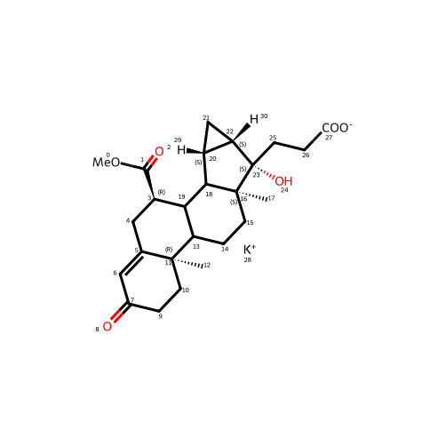 COC(=O)[C@@H]1CC2=CC(=O)CC[C@]2(C)C2CC[C@@]3(C)C(C21)[C@@H]1C[C@@H]1[C@@]3(O)CCC(=O)[O-].[K+]